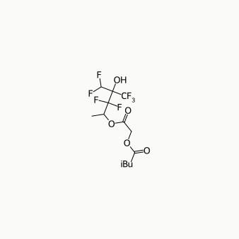 CCC(C)C(=O)OCC(=O)OC(C)C(F)(F)C(O)(C(F)F)C(F)(F)F